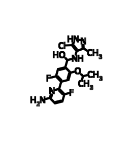 Cc1n[nH]c(Cl)c1NC(O)c1cc(F)c(-c2nc(N)ccc2F)cc1OC(C)C